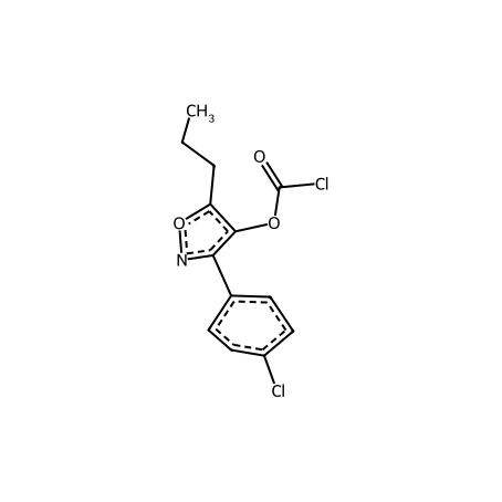 CCCc1onc(-c2ccc(Cl)cc2)c1OC(=O)Cl